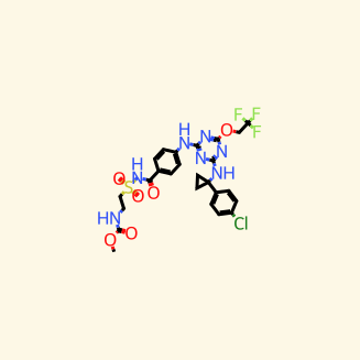 COC(=O)NCCS(=O)(=O)NC(=O)c1ccc(Nc2nc(NC3(c4ccc(Cl)cc4)CC3)nc(OCC(F)(F)F)n2)cc1